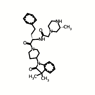 C[C@@H]1CN(CC(=O)N[C@@H](CCc2ccccc2)C(=O)N2CCC(N3C(=O)C(C)(C)c4ccccc43)CC2)CCN1